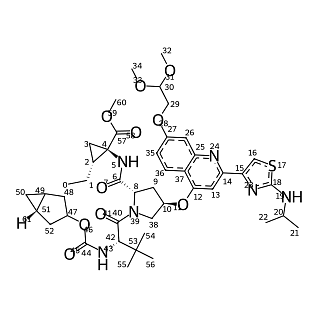 CC[C@@H]1C[C@]1(NC(=O)[C@@H]1C[C@@H](Oc2cc(-c3csc(NC(C)C)n3)nc3cc(OCC(OC)OC)ccc23)CN1C(=O)[C@@H](NC(=O)OC1CC2C[C@H]2C1)C(C)(C)C)C(=O)OC